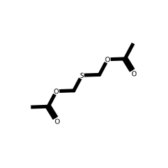 CC(=O)OCSCOC(C)=O